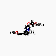 Cc1ccc(C#CCOC(C)(C)C)cc1N1CCC(OC2CC(OCC(C)(C)C)C2)CC1